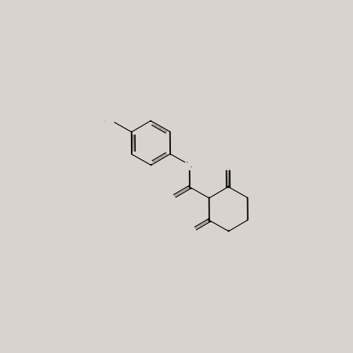 O=C1CCCC(=O)C1C(=S)Nc1ccc(Cl)cc1